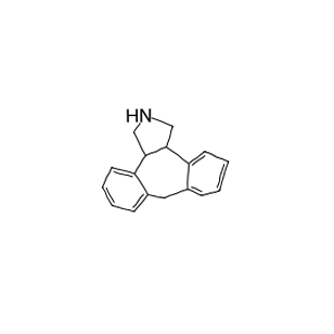 c1ccc2c(c1)Cc1ccccc1C1CNCC21